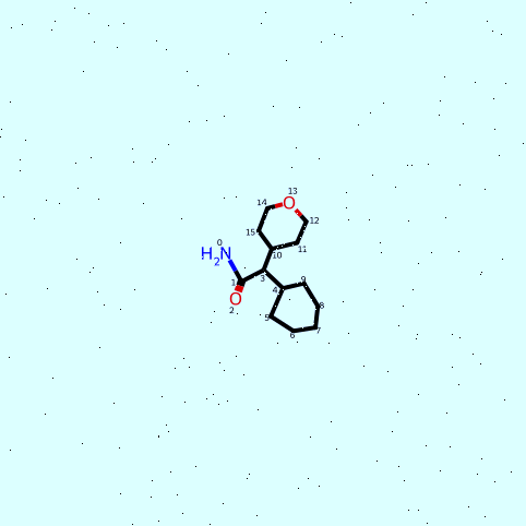 NC(=O)C(C1CCCCC1)C1CCOCC1